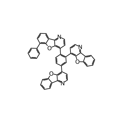 c1ccc(-c2cccc3c2oc2c(-c4ccc(-c5ccnc6c5oc5ccccc56)cc4-c4ccnc5c4oc4ccccc45)ccnc23)cc1